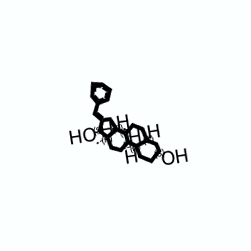 C[C@@]12CC[C@H]3[C@@H]4CC[C@H](O)C[C@@H]4CC[C@@H]3[C@H]1CC(=Cc1ccccc1)[C@H]2O